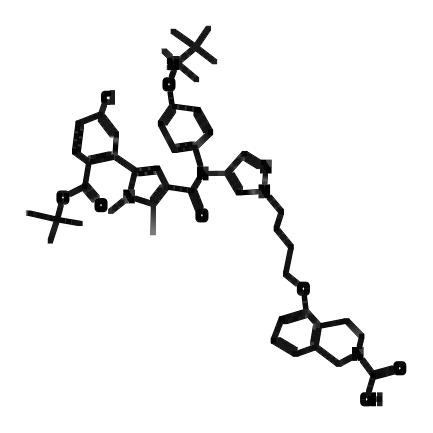 Cc1c(C(=O)N(c2ccc(O[Si](C)(C)C(C)(C)C)cc2)c2cnn(CCCCOc3cccc4c3CCN(C(=O)O)C4)c2)cc(-c2cc(Cl)ccc2C(=O)OC(C)(C)C)n1C